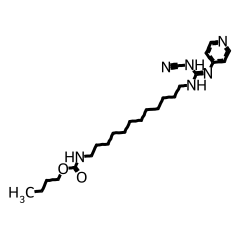 CCCCOC(=O)NCCCCCCCCCCCCNC(=Nc1ccncc1)NC#N